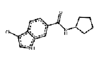 O=C(NC1CCCC1)c1ccc2c(Cl)c[nH]c2c1